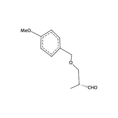 COc1ccc(COC[C@@H](C)C=O)cc1